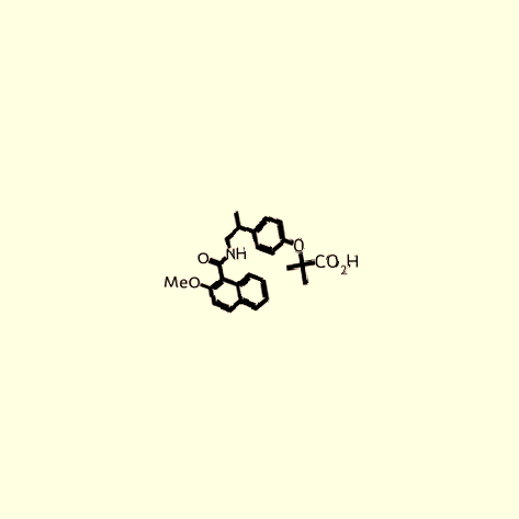 COc1ccc2ccccc2c1C(=O)NCC(C)c1ccc(OC(C)(C)C(=O)O)cc1